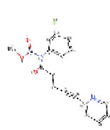 CC(C)(C)OC(=O)N(C(=O)CCC#Cc1ccccn1)c1cccc(F)c1